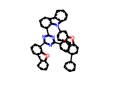 c1ccc(-c2ccc3oc4cc(-n5c6ccccc6c6cccc(-c7nc(-c8ccccc8)nc(-c8cccc9c8oc8ccccc89)n7)c65)ccc4c3c2)cc1